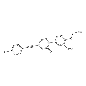 COc1cc(-n2ncc(C#Cc3ccc(Cl)cc3)cc2=O)ccc1OCC(C)(C)C